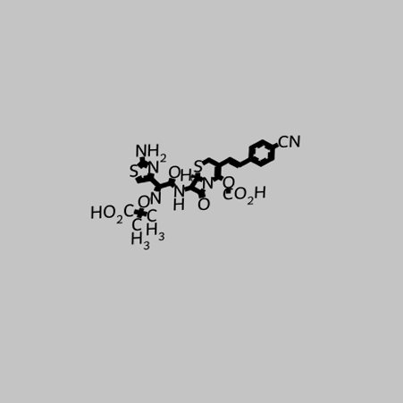 CC(C)(ON=C(C(=O)NC1C(=O)N2C(OC(=O)O)=C(C=Cc3ccc(C#N)cc3)CS[C@@H]12)c1csc(N)n1)C(=O)O